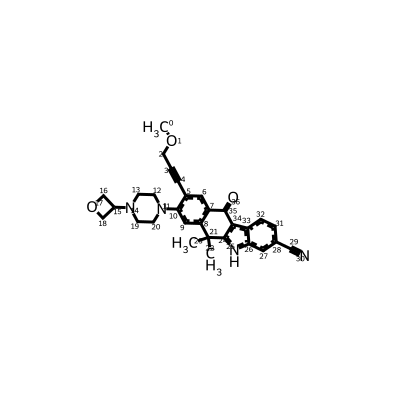 COCC#Cc1cc2c(cc1N1CCN(C3COC3)CC1)C(C)(C)c1[nH]c3cc(C#N)ccc3c1C2=O